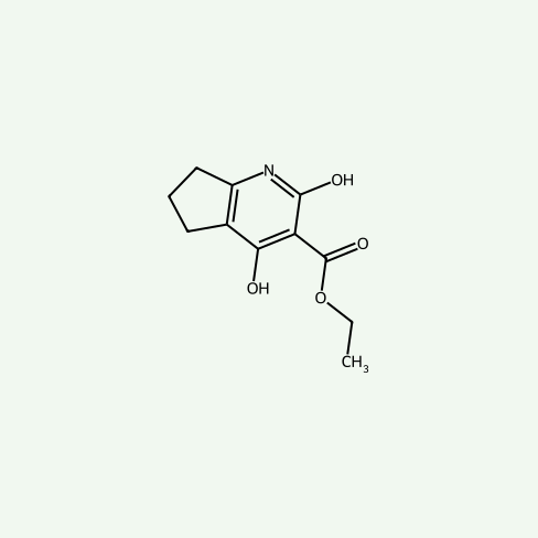 CCOC(=O)c1c(O)nc2c(c1O)CCC2